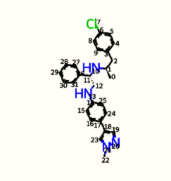 C[C@H](Cc1ccc(Cl)cc1)N[C@H](CNc1ccc(-c2cnn(C)c2)cc1)c1ccccc1